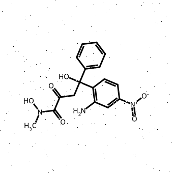 CN(O)C(=O)C(=O)CC(O)(c1ccccc1)c1ccc([N+](=O)[O-])cc1N